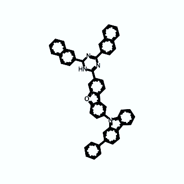 c1ccc(-c2ccc3c4ccccc4n(-c4ccc5oc6cc(C7=NC(c8ccc9ccccc9c8)=NC(c8ccc9ccccc9c8)N7)ccc6c5c4)c3c2)cc1